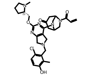 C=CC(=O)N1CC2CC(=O)CC1CN2c1nc(OC[C@@H]2CCCN2C)nc2c1CN(Cc1c(Cl)ccc(O)c1C)C2